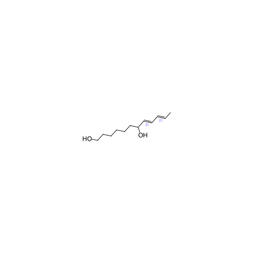 C/C=C/C=C/C(O)CCCCCCO